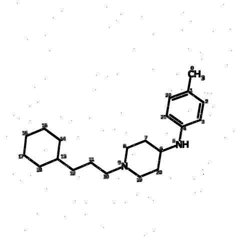 Cc1ccc(NC2CCN(CCCC3CCCCC3)CC2)cc1